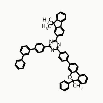 CC1(C)c2ccccc2-c2ccc(-c3nc(-c4ccc(-c5cccc(-c6ccccc6)c5)cc4)nc(-c4ccc(-c5ccc6c(c5)OC(C)(c5ccccc5)c5ccccc5-6)cc4)n3)cc21